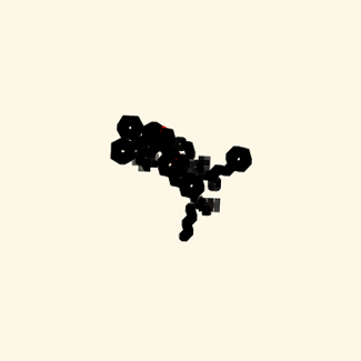 CCCCCN(NC)c1cc(Cc2ccc(-c3ccccc3-c3nnnn3C(c3ccccc3)(c3ccccc3)c3ccccc3)cc2)c(S(=O)(=O)N2CCOCC2)c(NC(=O)CCc2ccccc2)c1